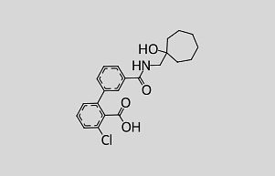 O=C(NCC1(O)CCCCCC1)c1cccc(-c2cccc(Cl)c2C(=O)O)c1